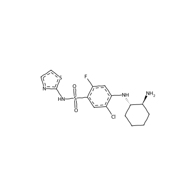 N[C@H]1CCCC[C@@H]1Nc1cc(F)c(S(=O)(=O)Nc2nccs2)cc1Cl